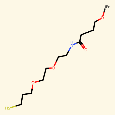 CC(C)OCCCC(=O)NCCOCCOCCCS